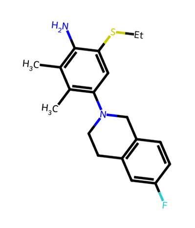 CCSc1cc(N2CCc3cc(F)ccc3C2)c(C)c(C)c1N